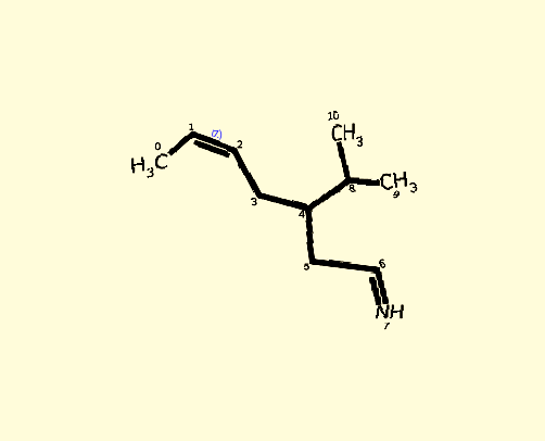 C/C=C\CC(CC=N)C(C)C